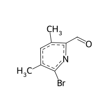 Cc1cc(C)c(C=O)nc1Br